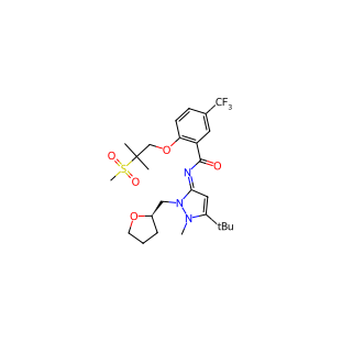 Cn1c(C(C)(C)C)cc(=NC(=O)c2cc(C(F)(F)F)ccc2OCC(C)(C)S(C)(=O)=O)n1C[C@H]1CCCO1